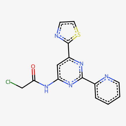 O=C(CCl)Nc1cc(-c2nccs2)nc(-c2ccccn2)n1